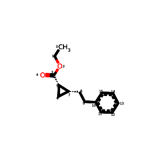 CCOC(=O)[C@H]1C[C@H]1CCc1ccccc1